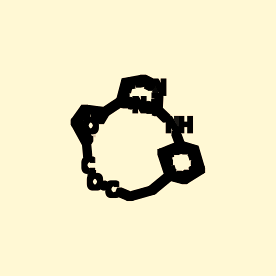 c1cc2cc(c1)Nc1nccc(n1)-c1ccc(o1)COCCC2